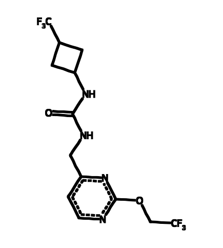 O=C(NCc1ccnc(OCC(F)(F)F)n1)NC1CC(C(F)(F)F)C1